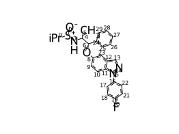 CC(C)[S+]([O-])N[C@@H](C)[C@H](Oc1ccc2c(cnn2-c2ccc(F)cc2)c1)c1ccccc1